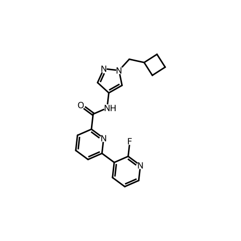 O=C(Nc1cnn(CC2CCC2)c1)c1cccc(-c2cccnc2F)n1